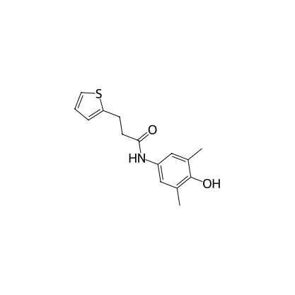 Cc1cc(NC(=O)CCc2cccs2)cc(C)c1O